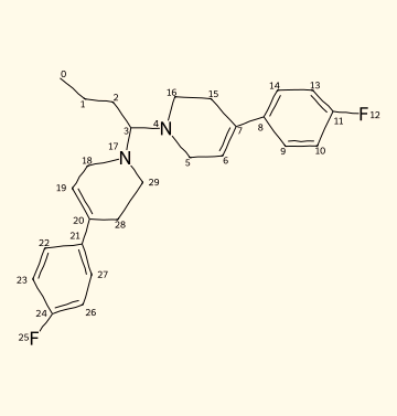 CCCC(N1CC=C(c2ccc(F)cc2)CC1)N1CC=C(c2ccc(F)cc2)CC1